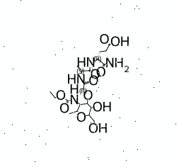 CCOC(=O)NC1C(C)OC(CO)C(O)C1O[C@H](C)C(=O)N[C@@H](C)C(=O)N[C@H](CCC(=O)O)C(N)=O